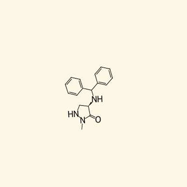 CN1NC[C@@H](NC(c2ccccc2)c2ccccc2)C1=O